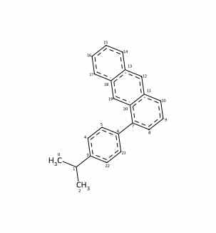 CC(C)c1ccc(-c2cccc3cc4ccccc4cc23)cc1